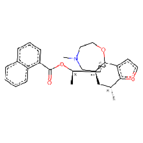 C[C@@H]1C[C@@]23CN(C)CCO[C@@]2(CC=C3[C@@H](C)OC(=O)c2cccc3ccccc23)c2ccoc21